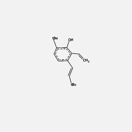 C=Cc1c(C=CC(C)(C)C)ccc(C(C)(C)C)c1O